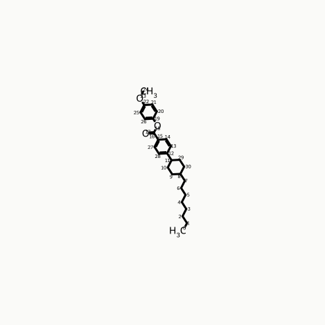 CCCCCCCCC1CCC(c2ccc(C(=O)Oc3ccc(OC)cc3)cc2)CC1